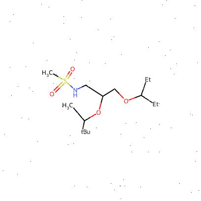 CCC(CC)OCC(CNS(C)(=O)=O)OC(C)C(C)(C)C